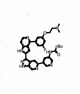 CCCCC(=O)Nc1cncc(-c2cc3c(-c4cc5c(-c6cc(F)cc(OCCN(C)C)c6)nccc5[nH]4)n[nH]c3cn2)c1